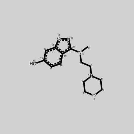 CN(CCN1CCOCC1)c1noc2cc(O)ccc12